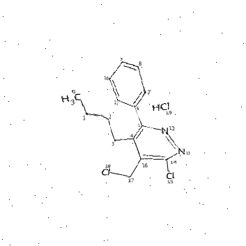 CCCCc1c(-c2ccccc2)nnc(Cl)c1CCl.Cl